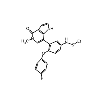 CCSNc1ccc(Oc2ccc(F)cn2)c(-c2cn(C)c(=O)c3cc[nH]c23)c1